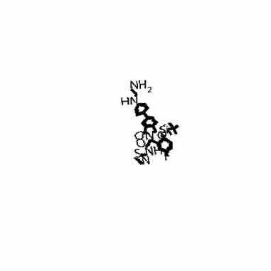 CC(C)(C)[Si](C)(C)Oc1ccc(F)cc1C(C(=O)Nc1nccs1)N1Cc2ccc(-c3ccc(NCCN)cc3)cc2C1=O